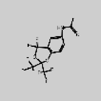 CC(=O)Nc1ccc2c(c1)C(F)(F)OC(C(F)(F)F)(C(F)(F)F)O2